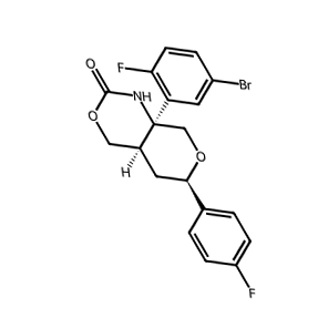 O=C1N[C@@]2(c3cc(Br)ccc3F)CO[C@@H](c3ccc(F)cc3)C[C@H]2CO1